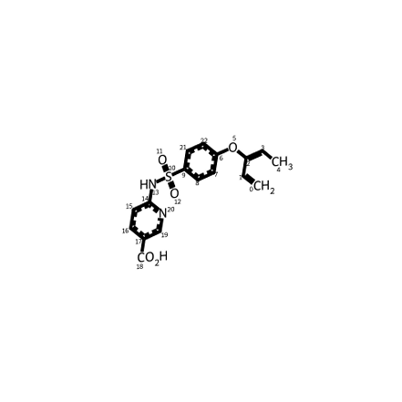 C=C/C(=C\C)Oc1ccc(S(=O)(=O)Nc2ccc(C(=O)O)cn2)cc1